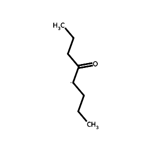 CCC[CH]C(=O)CCC